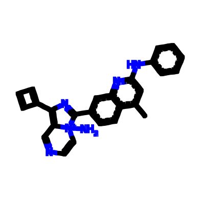 Cc1cc(Nc2ccccc2)nc2cc(C3=NC(C4=CC=C4)=C4C=NC=C[N+]34N)ccc12